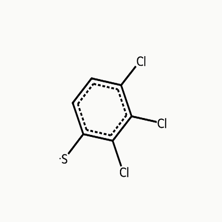 [S]c1ccc(Cl)c(Cl)c1Cl